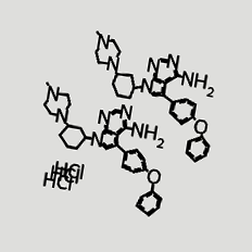 CN1CCN(C2CCCC(n3cc(-c4ccc(Oc5ccccc5)cc4)c4c(N)ncnc43)C2)CC1.CN1CCN(C2CCCC(n3cc(-c4ccc(Oc5ccccc5)cc4)c4c(N)ncnc43)C2)CC1.Cl.Cl.Cl